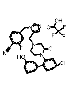 N#Cc1ccc(Cn2cncc2CN2CCN(c3cc(Cl)ccc3-c3cccc(O)c3)C(=O)C2)cc1F.O=C(O)C(F)(F)F